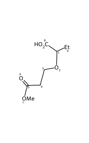 CCC(OCCC(=O)OC)C(=O)O